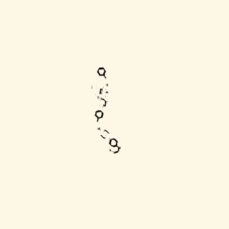 CCn1cc(C(=O)O)c(=O)c2cc(F)c(N3CCN(C(=O)OCc4ccc(NC(=O)[C@@H](C)c5nnc6n5C(=O)N(C(=O)OCc5ccccc5)[C@H]6C(C)C)cc4)CC3)cc21